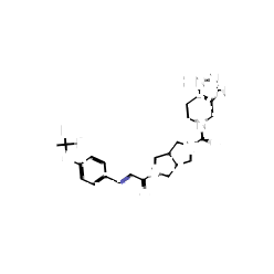 O=C(/C=C/c1ccc(OC(F)(F)F)cc1)N1CC2CN(C(=O)N3CCc4[nH]nnc4C3)CC2C1